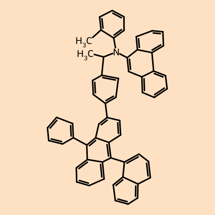 Cc1ccccc1N(c1cc2ccccc2c2ccccc12)C(C)c1ccc(-c2ccc3c(-c4cccc5ccccc45)c4ccccc4c(-c4ccccc4)c3c2)cc1